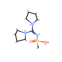 CP(=O)(O)N=C(N1CCCC1)N1CCCC1